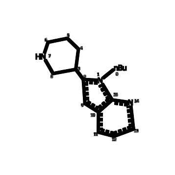 CCCCn1c(C2CCCNC2)cc2cccnc21